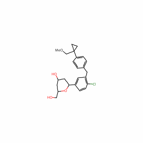 COCC1(c2ccc(Cc3cc(C4CC(O)CC(CO)O4)ccc3Cl)cc2)CC1